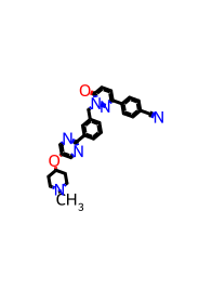 CN1CCC(Oc2cnc(-c3cccc(Cn4nc(-c5ccc(C#N)cc5)ccc4=O)c3)nc2)CC1